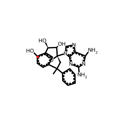 CC(C[C@@]1(n2cnc3c(N)nc(N)nc32)O[C@H](CO)[C@@H](O)[C@H]1O)(c1ccccc1)c1ccccc1